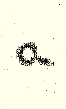 CNC(=O)C[C@@H]1NC(=O)c2csc(n2)-c2ccc(-c3nc(NC(=O)c4cnc(C(=O)O)cn4)cs3)nc2-c2csc(n2)-c2csc(n2)[C@H]([C@@H](O)c2ccccc2)NC(=O)CNC(=O)c2nc(sc2COC)[C@H](C(C)C)NC(=O)c2nc1sc2C